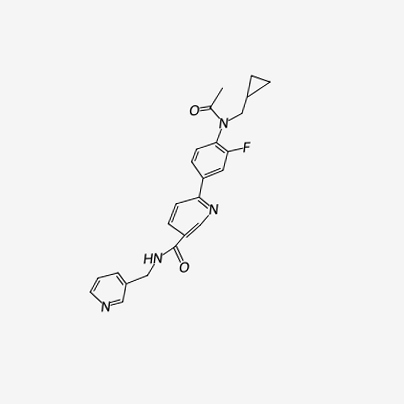 CC(=O)N(CC1CC1)c1ccc(-c2ccc(C(=O)NCc3cccnc3)cn2)cc1F